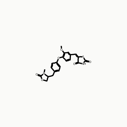 COc1cc(/C=C2/SC(=O)NC2=O)ccc1Oc1ccc(CC2COC(=O)N2C)cc1